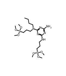 CCCCN(CCC[Si](OC)(OC)OC)c1nc(N)nc(NCCC[Si](OC)(OC)OC)n1